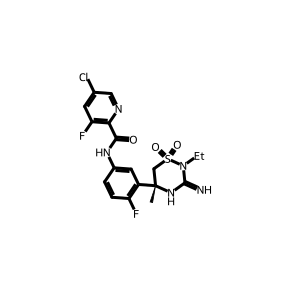 CCN1C(=N)N[C@](C)(c2cc(NC(=O)c3ncc(Cl)cc3F)ccc2F)CS1(=O)=O